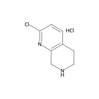 Cl.Clc1ccc2c(n1)CNCC2